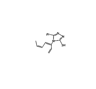 C=C/C(=C\C=C/C)n1c(S)nnc1C(C)C